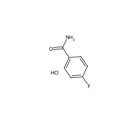 Cl.NC(=O)c1ccc(F)cc1